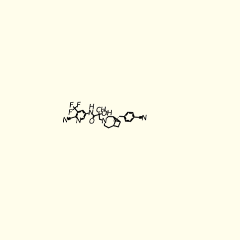 CC(O)(CN1CCC2CC3C(C1)[C@]23Cc1ccc(C#N)cc1)C(=O)Nc1cnc(C#N)c(C(F)(F)F)c1